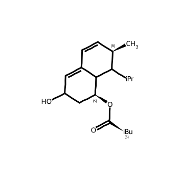 CC[C@H](C)C(=O)O[C@H]1CC(O)C=C2C=C[C@@H](C)C(C(C)C)C21